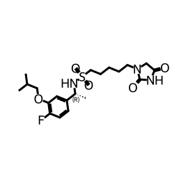 CC(C)COc1cc([C@@H](C)NS(=O)(=O)CCCCCN2CC(=O)NC2=O)ccc1F